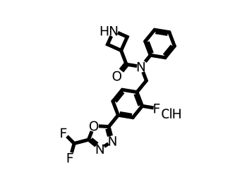 Cl.O=C(C1CNC1)N(Cc1ccc(-c2nnc(C(F)F)o2)cc1F)c1ccccc1